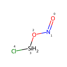 O=NO[SiH2]Cl